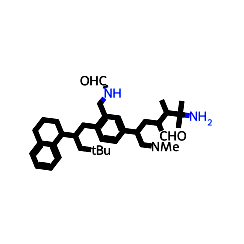 CNCC(CC(C=O)C(C)C(C)(C)N)c1ccc(CC(CC(C)(C)C)C2CCCc3ccccc32)c(CNC=O)c1